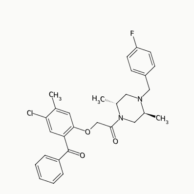 Cc1cc(OCC(=O)N2C[C@H](C)N(Cc3ccc(F)cc3)C[C@H]2C)c(C(=O)c2ccccc2)cc1Cl